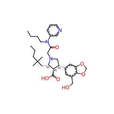 CCCCN(C(=O)CN1C[C@H](c2cc(CO)c3c(c2)OCO3)[C@@H](C(=O)O)[C@@H]1CC(C)(C)CCC)c1cccnc1